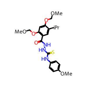 COCOc1cc(OCOC)c(C(C)C)cc1C(=O)NNC(=S)Nc1ccc(OC)cc1